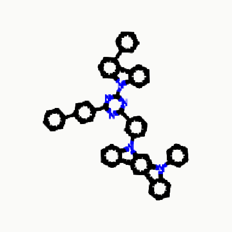 c1ccc(-c2ccc(-c3nc(-c4cccc(-n5c6ccccc6c6cc7c8ccccc8n(-c8ccccc8)c7cc65)c4)nc(-n4c5ccccc5c5c(-c6ccccc6)cccc54)n3)cc2)cc1